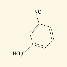 O=Nc1cccc(C(=O)O)c1